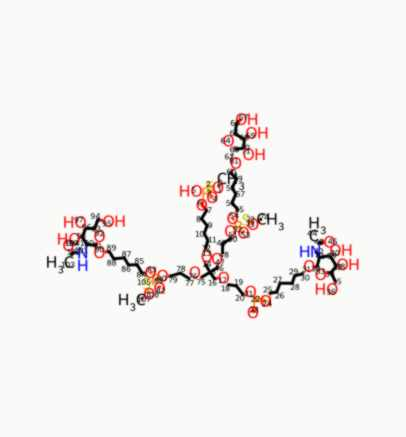 COSP(=O)(O)OCCCCCCOCC(COCCCO[PH](=O)OCCCCCCOC1OC(CO)C(O)C(O)C1NC(C)=O)(COCCCOP(=O)(OCCCCCCOC[C@@H]1OC(CO)C(O)C1O)SOC)COCCCOP(=O)(OCCCCCCOC1OC(CO)C(O)C(O)C1NC(C)=O)SOC